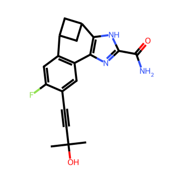 CC(C)(O)C#Cc1cc2c(cc1F)C1CC(C1)c1[nH]c(C(N)=O)nc1-2